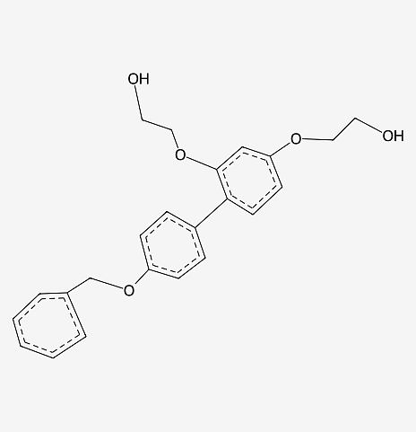 OCCOc1ccc(-c2ccc(OCc3ccccc3)cc2)c(OCCO)c1